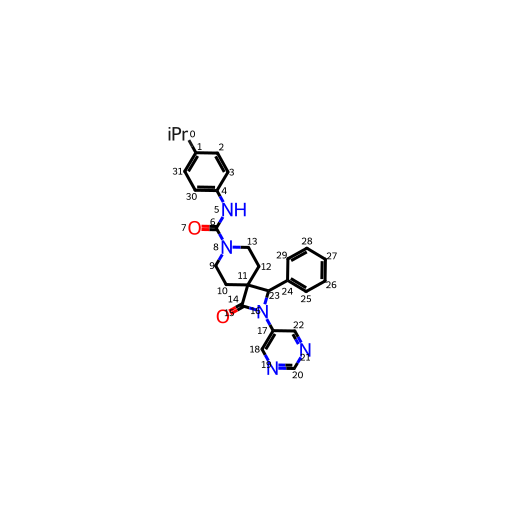 CC(C)c1ccc(NC(=O)N2CCC3(CC2)C(=O)N(c2cncnc2)C3c2ccccc2)cc1